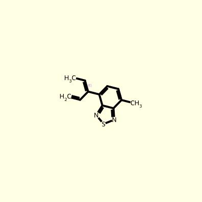 C=C/C(=C\C)c1ccc(C)c2nsnc12